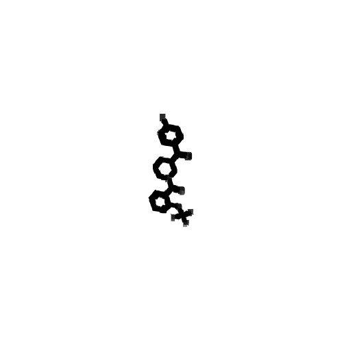 O=C(c1ccc(F)cc1)C1CCCN(C(=O)c2ccccc2OC(F)(F)F)C1